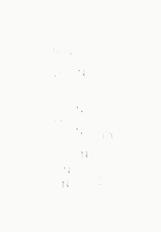 CC(C)C1CN(CC2CCCN2C(=O)OC(C)(C)C)C(=O)N1c1ccn2ncc(Br)c2n1